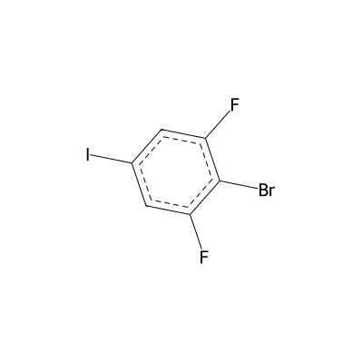 Fc1cc(I)cc(F)c1Br